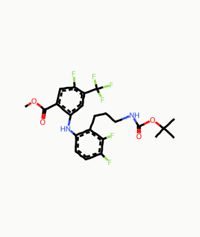 COC(=O)c1cc(F)c(C(F)(F)F)cc1Nc1ccc(F)c(F)c1CCCNC(=O)OC(C)(C)C